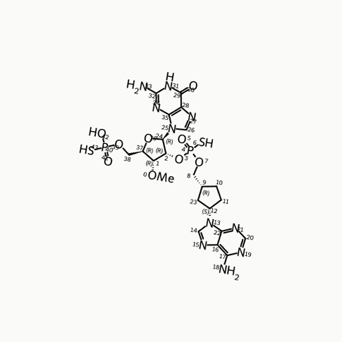 CO[C@H]1[C@@H](OP(=O)(S)OC[C@@H]2CC[C@H](n3cnc4c(N)ncnc43)C2)[C@H](n2cnc3c(=O)[nH]c(N)nc32)O[C@@H]1COP(=O)(O)S